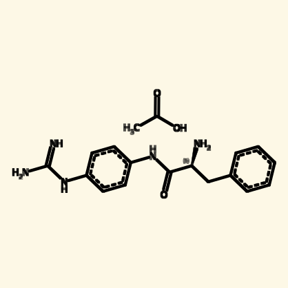 CC(=O)O.N=C(N)Nc1ccc(NC(=O)[C@@H](N)Cc2ccccc2)cc1